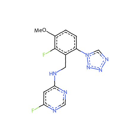 COc1ccc(-n2cnnn2)c(CNc2cc(F)ncn2)c1F